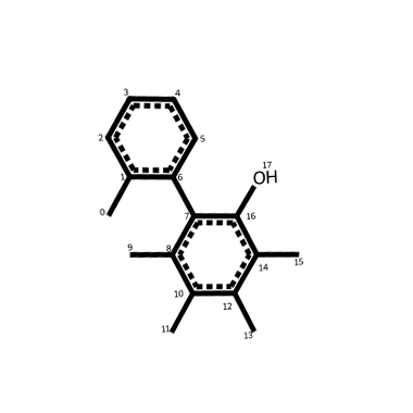 Cc1ccccc1-c1c(C)c(C)c(C)c(C)c1O